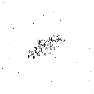 C[C@]12CC[C@H]3[C@@H](C[C@@H](Br)[C@@]4(Br)C[C@@H](OC(=O)C(F)(F)F)CC[C@]34C)[C@@H]1CCC2=O